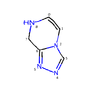 C1=Cn2cnnc2CN1